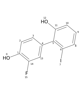 Oc1ccc(-c2c(I)[c]ccc2O)cc1F